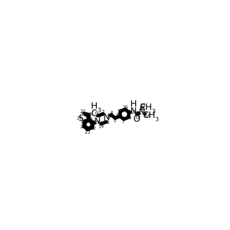 CC1CN(CCC2CCC(NC(=O)N(C)C)CC2)CCN1c1cccc2sccc12